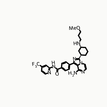 COCCCN[C@H]1CCC[C@@H](c2nc(-c3ccc(C(=O)Nc4cc(C(F)(F)F)ccn4)cc3)c3c(N)nccn23)C1